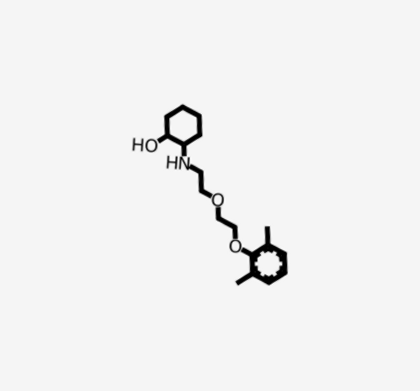 Cc1cccc(C)c1OCCOCCNC1CCCCC1O